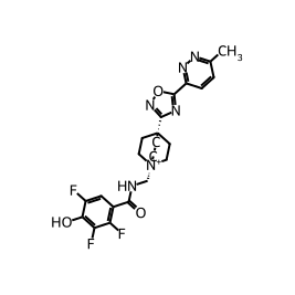 Cc1ccc(-c2nc([C@]34CC[N@+](CNC(=O)c5cc(F)c(O)c(F)c5F)(CC3)CC4)no2)nn1